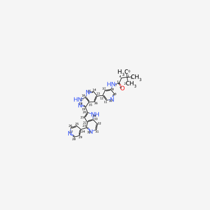 CC(C)(C)CC(=O)Nc1cncc(-c2cnc3[nH]nc(-c4cc5c(-c6ccncc6)nccc5[nH]4)c3c2)c1